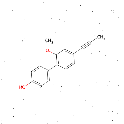 CC#Cc1ccc(-c2ccc(O)cc2)c(OC)c1